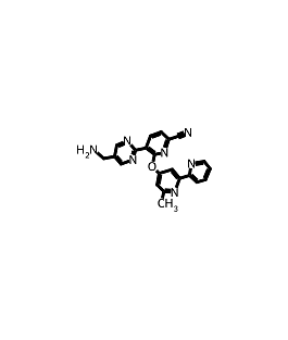 Cc1cc(Oc2nc(C#N)ccc2-c2ncc(CN)cn2)cc(-c2ccccn2)n1